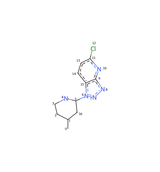 CC1CC[N]C(n2nnc3nc(Cl)ccc32)C1